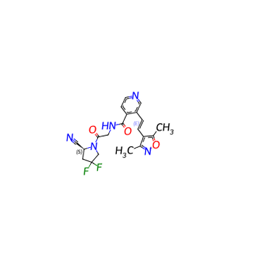 Cc1noc(C)c1/C=C/c1cnccc1C(=O)NCC(=O)N1CC(F)(F)C[C@H]1C#N